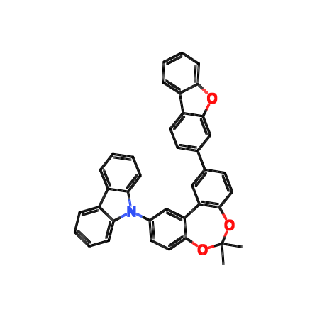 CC1(C)Oc2ccc(-c3ccc4c(c3)oc3ccccc34)cc2-c2cc(-n3c4ccccc4c4ccccc43)ccc2O1